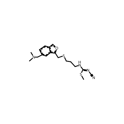 CSC(=NC#N)NCCCSCc1occ2ccc(CN(C)C)cc12